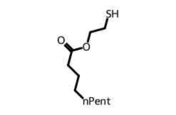 CCCCCCCCC(=O)OCCS